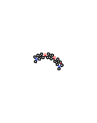 O=C(c1ccc2c(c1)C1(c3ccccc3-c3ccccc31)c1cc(C(=O)c3ccc4c(c3)C3(c5ccccc5-c5ccccc53)c3cc(N(c5ccccc5)c5ccccc5)ccc3-4)ccc1-2)c1ccc2c(c1)C1(c3ccccc3-c3ccccc31)c1cc(N(c3cc#ccc3)c3ccccc3)ccc1-2